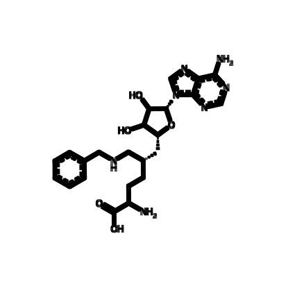 Nc1ncnc2c1ncn2[C@@H]1O[C@H](C[C@H](CCC(N)C(=O)O)CNCc2ccccc2)C(O)C1O